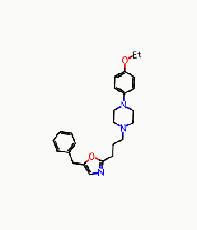 CCOc1ccc(N2CCN(CCCc3ncc(Cc4ccccc4)o3)CC2)cc1